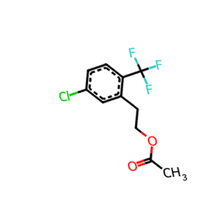 CC(=O)OCCc1cc(Cl)ccc1C(F)(F)F